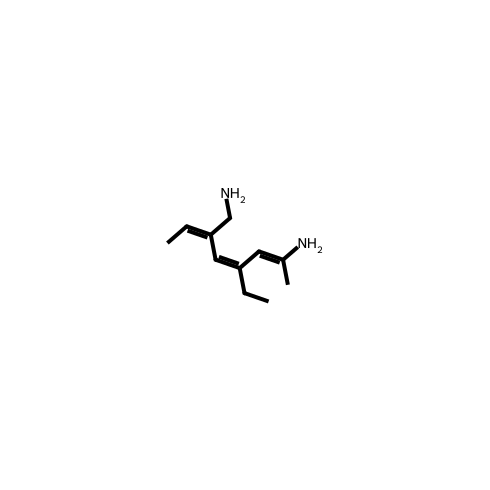 C\C=C(/C=C(\C=C(/C)N)CC)CN